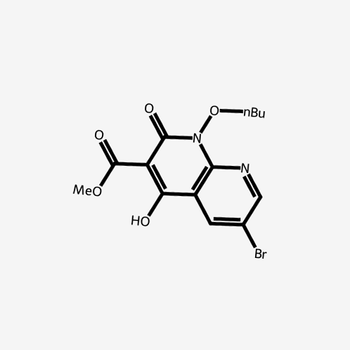 CCCCOn1c(=O)c(C(=O)OC)c(O)c2cc(Br)cnc21